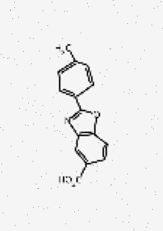 Cc1ccc(-c2nc3cc(C(=O)O)ccc3o2)cc1